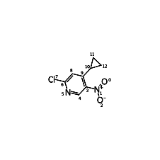 O=[N+]([O-])c1cnc(Cl)cc1C1CC1